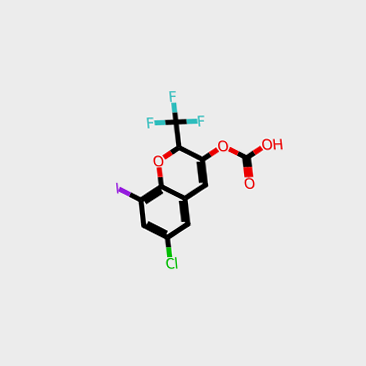 O=C(O)OC1=Cc2cc(Cl)cc(I)c2OC1C(F)(F)F